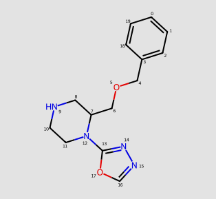 c1ccc(COCC2CNCCN2c2nnco2)cc1